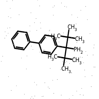 CC(C)(C)C(P)(c1ccc(-c2ccccc2)cc1)C(C)(C)C